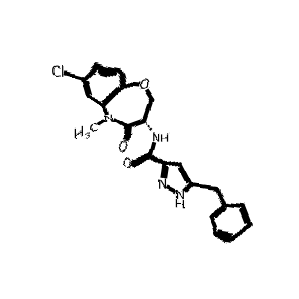 CN1C(=O)[C@@H](NC(=O)c2cc(Cc3ccccc3)[nH]n2)COc2ccc(Cl)cc21